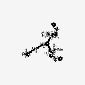 CN[C@@H](C)C(=O)N[C@H](C(=O)N1CCC[C@H]1Cn1nnnc1Sc1ccccc1)C(C)OCC#Cc1cc(C#CCO[C@H](C)[C@H](NC(=O)[C@H](C)NC)C(=O)N2CCC[C@H]2Cn2nnnc2Sc2ccccc2)cc(NC(=O)CCCCCNC(=O)CCCCC2SC[C@@H]3NC(=O)N[C@H]23)c1